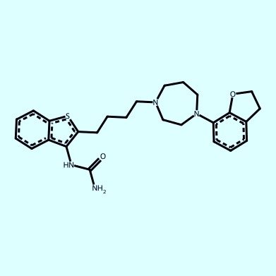 NC(=O)Nc1c(CCCCN2CCCN(c3cccc4c3OCC4)CC2)sc2ccccc12